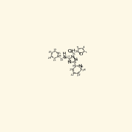 OC(c1ccco1)n1nc(-c2ccccn2)nc1NCc1ccccc1